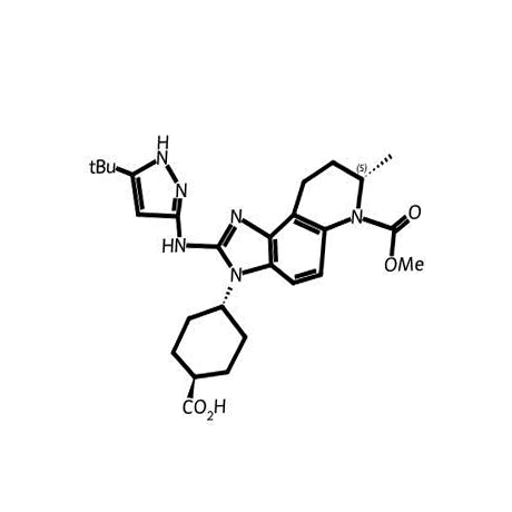 COC(=O)N1c2ccc3c(nc(Nc4cc(C(C)(C)C)[nH]n4)n3[C@H]3CC[C@H](C(=O)O)CC3)c2CC[C@@H]1C